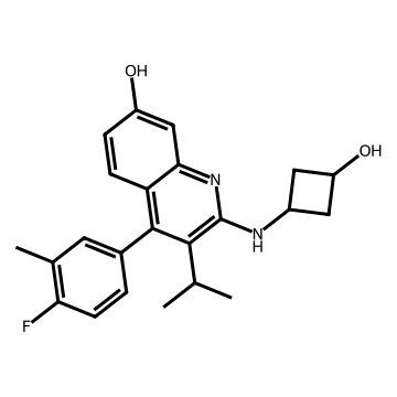 Cc1cc(-c2c(C(C)C)c(NC3CC(O)C3)nc3cc(O)ccc23)ccc1F